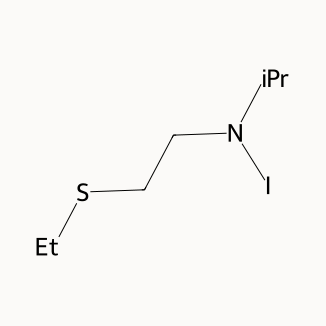 CCSCCN(I)C(C)C